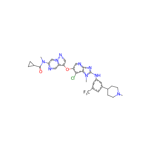 CN1CCC(c2cc(Nc3nc4ncc(Oc5cnn6cc(N(C)C(=O)C7CC7)ncc56)c(Cl)c4n3C)cc(C(F)(F)F)c2)CC1